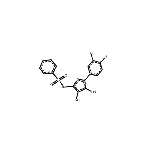 O=S(=O)(Nc1oc(-c2ccc(Cl)c(Cl)c2)c(O)c1O)c1ccccc1